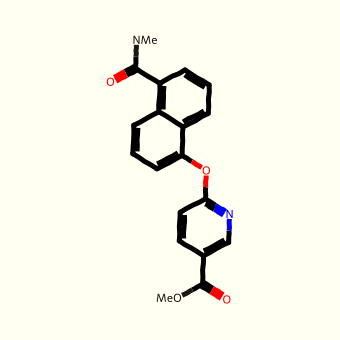 CNC(=O)c1cccc2c(Oc3ccc(C(=O)OC)cn3)cccc12